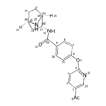 CC(=O)c1ccc(Oc2ccc(C(=O)N[C@@H]3C[C@H]4CC[C@@H]3N4)cc2)nc1